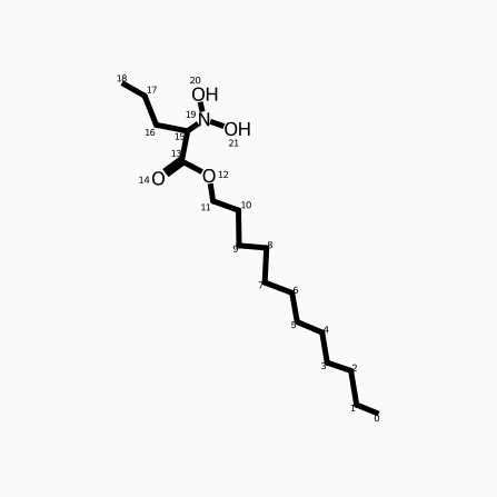 CCCCCCCCCCCCOC(=O)C(CCC)N(O)O